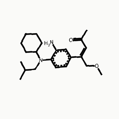 COC/C(=C/C(C)=O)c1ccc(N(CC(C)C)C2CCCCC2)c(N)c1